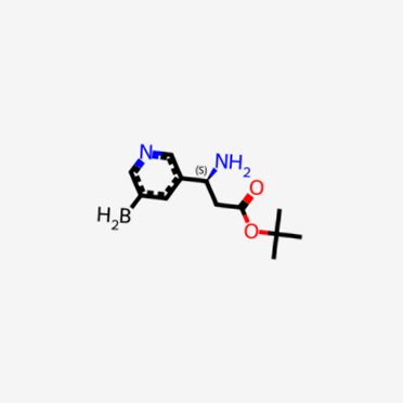 Bc1cncc([C@@H](N)CC(=O)OC(C)(C)C)c1